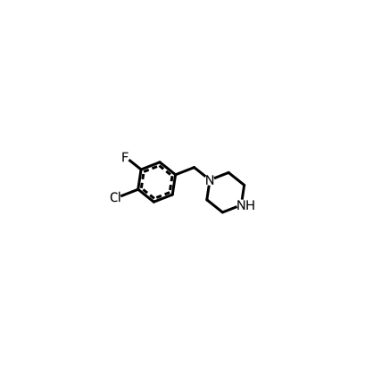 Fc1cc(CN2CCNCC2)ccc1Cl